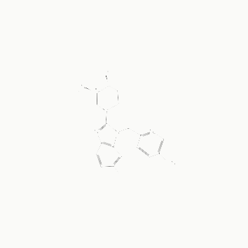 N#Cc1ccc(Cn2c(N3CC[C@H](O)[C@H](N)C3)nc3ccc(F)cc32)nc1